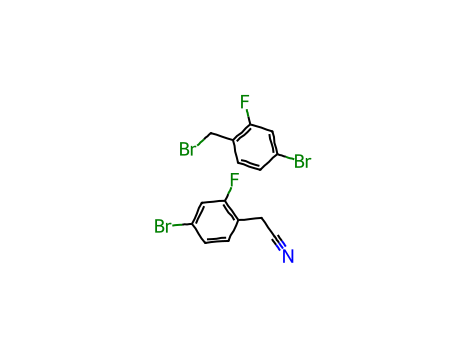 Fc1cc(Br)ccc1CBr.N#CCc1ccc(Br)cc1F